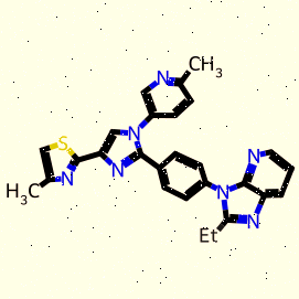 CCc1nc2cccnc2n1-c1ccc(-c2nc(-c3nc(C)cs3)cn2-c2ccc(C)nc2)cc1